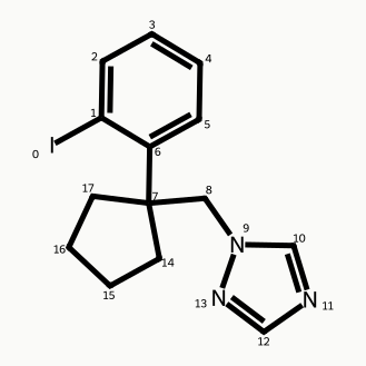 Ic1ccccc1C1(Cn2cncn2)CCCC1